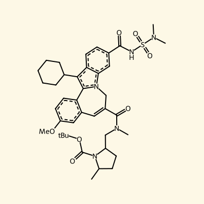 COc1ccc2c(c1)C=C(C(=O)N(C)CC1CCC(C)N1C(=O)OC(C)(C)C)Cn1c-2c(C2CCCCC2)c2ccc(C(=O)NS(=O)(=O)N(C)C)cc21